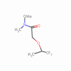 CON(C)C(=O)COC(C)C(F)(F)F